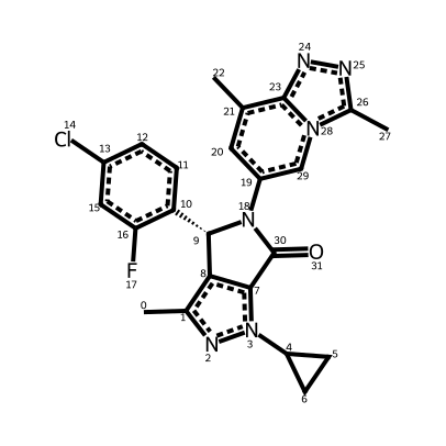 Cc1nn(C2CC2)c2c1[C@H](c1ccc(Cl)cc1F)N(c1cc(C)c3nnc(C)n3c1)C2=O